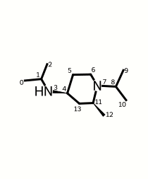 CC(C)N[C@H]1CCN(C(C)C)[C@@H](C)C1